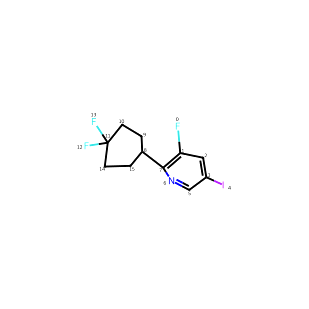 Fc1cc(I)cnc1C1CCC(F)(F)CC1